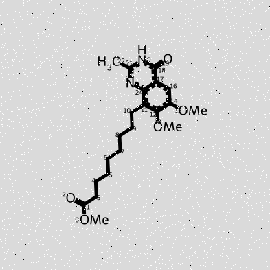 COC(=O)CCCCCCCCc1c(OC)c(OC)cc2c(=O)[nH]c(C)nc12